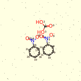 O=C(O)O.O=[N+]([O-])c1ccccc1.O=[N+]([O-])c1ccccc1